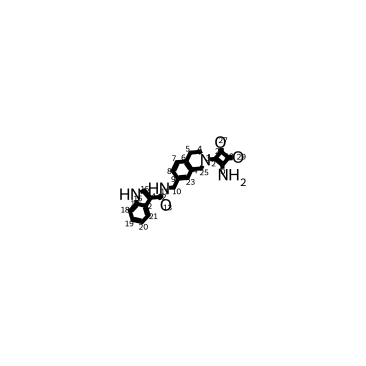 Nc1c(N2CCc3ccc(CNC(=O)c4c[nH]c5ccccc45)cc3C2)c(=O)c1=O